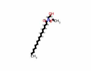 CCCCCCCCCCCCCCCCCC(=O)N(CCO)OCC